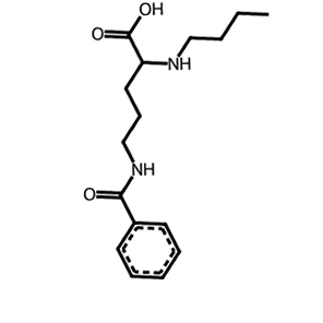 CCCCNC(CCCNC(=O)c1ccccc1)C(=O)O